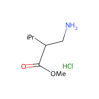 COC(=O)C(CN)C(C)C.Cl